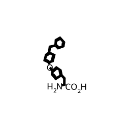 N[C@@H](Cc1ccc(Oc2ccc(Cc3ccccc3)cc2)cc1)C(=O)O